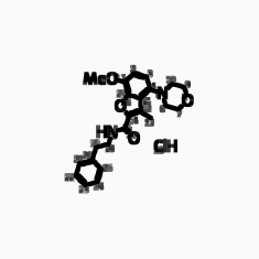 COc1ccc(N2CCOCC2)c2c(C)c(C(=O)NCCc3ccccc3)oc12.Cl